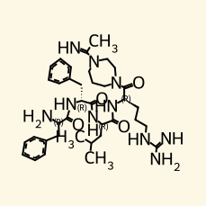 CC(=N)N1CCCN(C(=O)[C@@H](CCCNC(=N)N)NC(=O)[C@@H](CC(C)C)NC(=O)[C@@H](Cc2ccccc2)NC(=O)[C@H](N)Cc2ccccc2)CC1